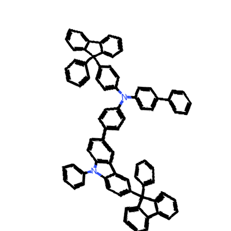 c1ccc(-c2ccc(N(c3ccc(-c4ccc5c(c4)c4cc(C6(c7ccccc7)c7ccccc7-c7ccccc76)ccc4n5-c4ccccc4)cc3)c3ccc(C4(c5ccccc5)c5ccccc5-c5ccccc54)cc3)cc2)cc1